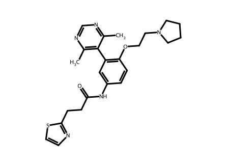 Cc1ncnc(C)c1-c1cc(NC(=O)CCc2nccs2)ccc1OCCN1CCCC1